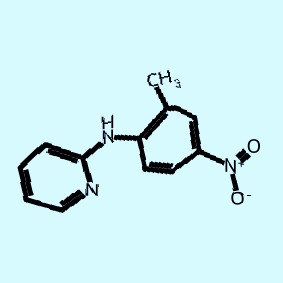 Cc1cc([N+](=O)[O-])ccc1Nc1ccccn1